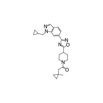 CC1(CC(=O)N2CCC(c3nc(-c4ccc5cnn(CC6CC6)c5c4)no3)CC2)CC1